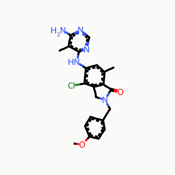 COc1ccc(CN2Cc3c(Cl)c(Nc4ncnc(N)c4C)cc(C)c3C2=O)cc1